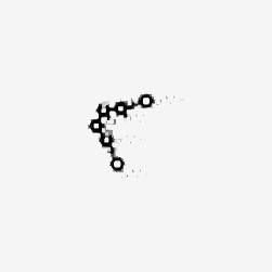 COc1cc(-c2nccc(-c3cccc(-c4ccc(CN[C@H]5CC[C@@H](OC)CC5)c(OC)n4)c3Cl)c2Cl)ccc1CN[C@H]1CC[C@@H](OC)CC1